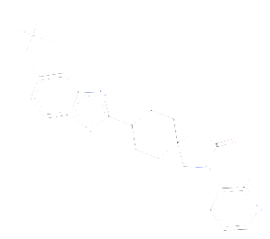 Cl.O=C1OC2(CCC(c3nc4cc(OC(F)(F)F)ccc4[nH]3)CC2)CN1c1cccnc1F